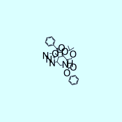 CC1(C)OC[C@@H]2[C@@H](O1)[C@H](OC(=O)c1ccccc1)C(N=[N+]=[N-])CN2C(=O)Oc1ccccc1